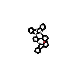 c1ccc(-n2c3ccccc3c3ccccc32)c(-c2ccccc2-n2c3ccccc3n3c4ccccc4nc23)c1